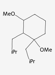 COC1CCCC(CC(C)C)(OC)C1CC(C)C